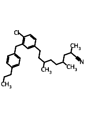 CCCc1ccc(Cc2cc(CCC(C)CCC(C)CC(C)C#N)ccc2Cl)cc1